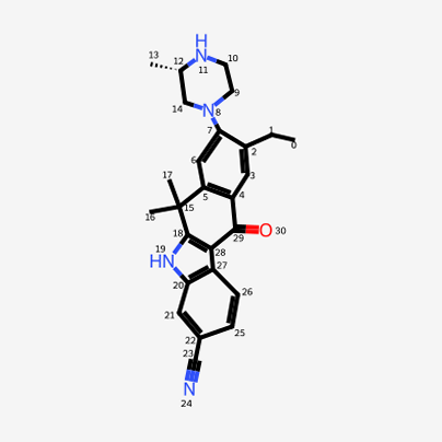 CCc1cc2c(cc1N1CCN[C@@H](C)C1)C(C)(C)c1[nH]c3cc(C#N)ccc3c1C2=O